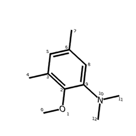 COc1c(C)cc(C)cc1N(C)C